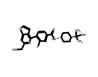 CC(C)(O)[C@H]1CC[C@H](NC(=O)c2ccc(-c3nc(CO)cc4occc34)c(F)c2)CC1